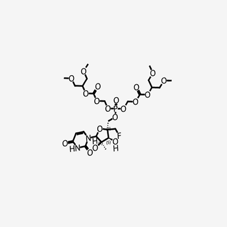 COCC(COC)OC(=O)OCOP(=O)(OCOC(=O)OC(COC)COC)OC[C@@]1(CF)OC(n2ccc(=O)[nH]c2=O)[C@](C)(O)[C@@H]1O